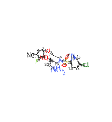 N#Cc1ccc(O[C@H]2CN(S(=O)(=O)c3ccc(Cl)cn3)C[C@@]2(O)CN)cc1F